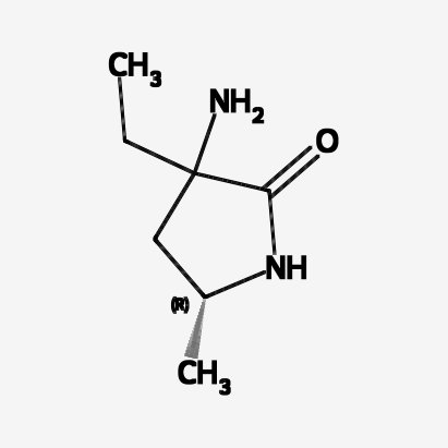 CCC1(N)C[C@@H](C)NC1=O